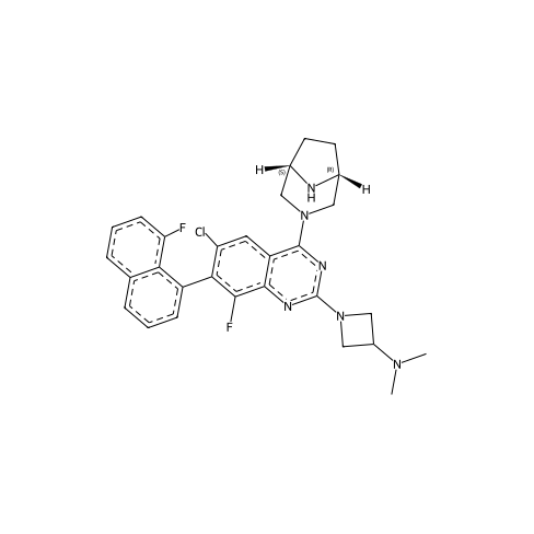 CN(C)C1CN(c2nc(N3C[C@H]4CC[C@@H](C3)N4)c3cc(Cl)c(-c4cccc5cccc(F)c45)c(F)c3n2)C1